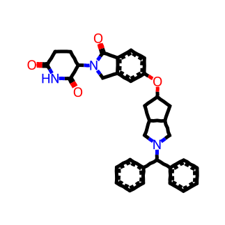 O=C1CCC(N2Cc3cc(OC4CC5CN(C(c6ccccc6)c6ccccc6)CC5C4)ccc3C2=O)C(=O)N1